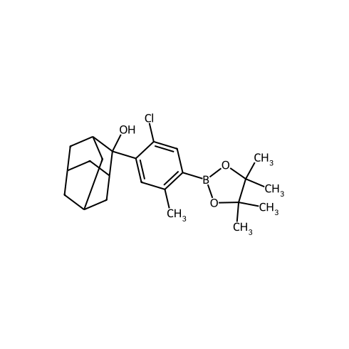 Cc1cc(C2(O)C3CC4CC(C3)CC2C4)c(Cl)cc1B1OC(C)(C)C(C)(C)O1